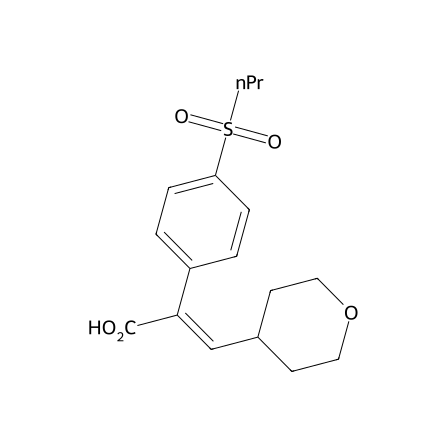 CCCS(=O)(=O)c1ccc(/C(=C\C2CCOCC2)C(=O)O)cc1